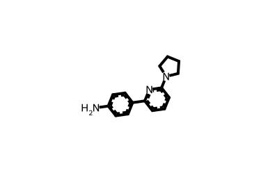 Nc1ccc(-c2cccc(N3CCCC3)n2)cc1